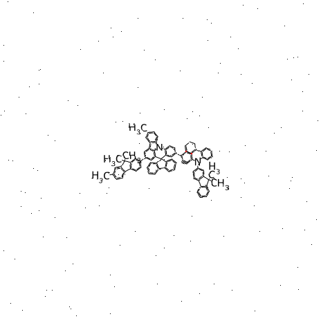 Cc1ccc2c(c1)C(C)(C)c1cc(-c3cc4c5c(c3)c3cc(C)ccc3n5-c3ccc(-c5c#cc(N(c6ccc7c(c6)C(C)(C)c6ccccc6-7)c6ccccc6C6=CC=CCC6)cc5)cc3C43c4ccccc4-c4ccccc43)ccc1-2